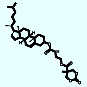 CC(C)CCC[C@@H](C)[C@H]1CCC2[C@@H]3CC=C4CC(OC(=O)NCCOC(=O)C5(C)COC(=O)OC5)CC[C@]4(C)[C@H]3CC[C@@]21C